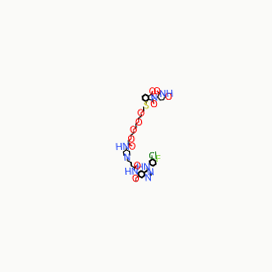 COc1cc2ncnc(Nc3ccc(F)c(Cl)c3)c2cc1NC(=O)/C=C/CN1CCC(NC(=O)COCCOCCOCCOCCSc2cccc3c2C(=O)N(C2CCC(=O)NC2=O)C3=O)CC1